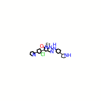 CCn1c(=O)c(-c2ccc(-c3ccccn3)cc2Cl)cc2cnc(Nc3ccc(C4CCCNC4)cc3)nc21